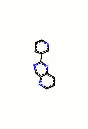 c1cncc(-c2ncc3ncccc3n2)c1